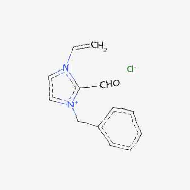 C=Cn1cc[n+](Cc2ccccc2)c1C=O.[Cl-]